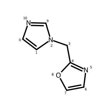 c1cn(Cc2ncco2)cn1